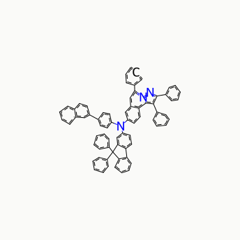 c1ccc(-c2nn3c(-c4ccccc4)cc4cc(N(c5ccc(-c6ccc7ccccc7c6)cc5)c5ccc6c(c5)C(c5ccccc5)(c5ccccc5)c5ccccc5-6)ccc4c3c2-c2ccccc2)cc1